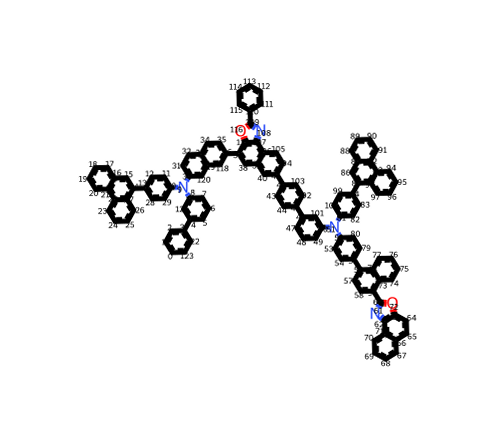 c1ccc(-c2cccc(N(c3ccc(-c4cc5ccccc5c5ccccc45)cc3)c3ccc4ccc(-c5cc6cc(-c7ccc(-c8cccc(N(c9ccc(-c%10ccc(-c%11nc%12c(ccc%13ccccc%13%12)o%11)c%11ccccc%10%11)cc9)c9ccc(-c%10cc%11ccccc%11c%11ccccc%10%11)cc9)c8)cc7)ccc6c6nc(-c7ccccc7)oc56)cc4c3)c2)cc1